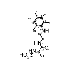 Cc1c(C)c(C)c(NCCNC(=O)C(C)NC(=O)O)c(C)c1C